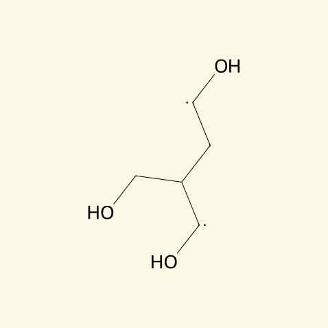 O[CH]CC([CH]O)CO